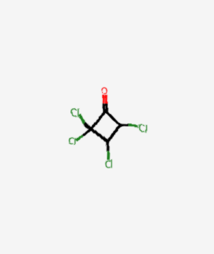 O=C1C(Cl)C(Cl)C1(Cl)Cl